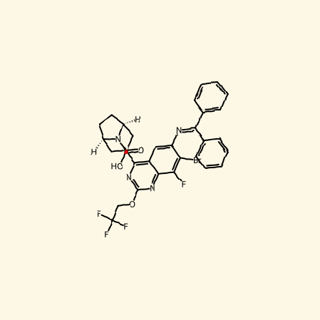 O=C(O)N1[C@@H]2CC[C@H]1CN(c1nc(OCC(F)(F)F)nc3c(F)c(Br)c(N=C(c4ccccc4)c4ccccc4)cc13)C2